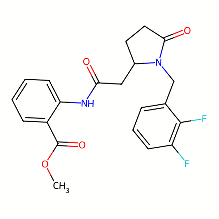 COC(=O)c1ccccc1NC(=O)CC1CCC(=O)N1Cc1cccc(F)c1F